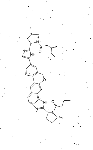 CCCC(=O)N1C(c2nc3ccc4cc5c(cc4c3[nH]2)OCc2cc(-c3cnc(C4C[C@H](C)CN4C(=O)C[C@@H](C)CC)[nH]3)ccc2-5)CC[C@@H]1C